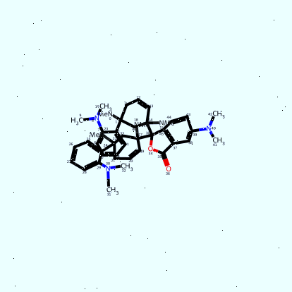 CNC1(c2ccccc2N(C)C)CC=CC(NC)(C2(C3(NC)C=CCC(NC)(c4ccccc4N(C)C)C3)OC(=O)c3cc(N(C)C)ccc32)C1